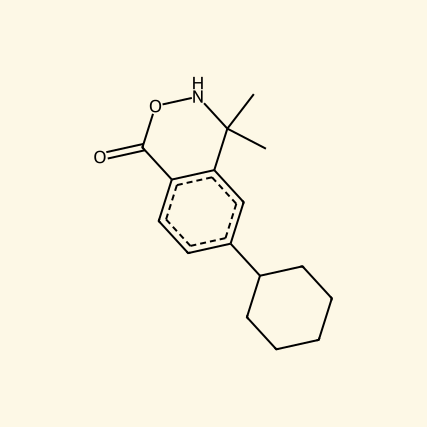 CC1(C)NOC(=O)c2ccc(C3CCCCC3)cc21